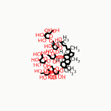 CC(CCC(OC1OC(COC2OC(CO)C(O)C(O)C2O)C(O)C(O)C1OC1OC(CO)C(OC2OC(CO)C(O)C(O)C2O)C(O)C1O)C(C)(C)O)C1CCC2(C)C3CC=C4C(CCC(OC5OC(COC6OC(CO)C(O)C(O)C6O)C(O)C(O)C5O)C4(C)C)C3(C)C(O)CC12C